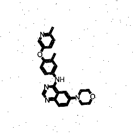 Cc1ccc(Oc2ccc(Nc3ncnc4ccc(N5CCOCC5)cc34)cc2C)cn1